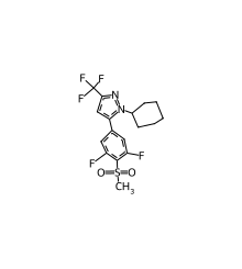 CS(=O)(=O)c1c(F)cc(-c2cc(C(F)(F)F)nn2C2CCCCC2)cc1F